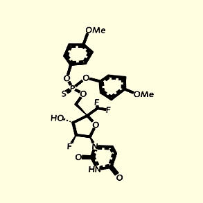 COc1ccc(OP(=S)(OC[C@@]2(C(F)F)O[C@@H](n3ccc(=O)[nH]c3=O)[C@@H](F)[C@@H]2O)Oc2ccc(OC)cc2)cc1